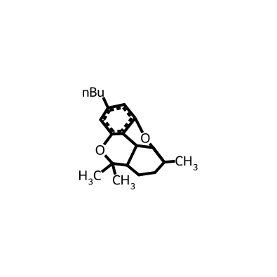 CCCCc1cc2c3c(c1)OC(C)(C)C1CCC(C)(CC31)O2